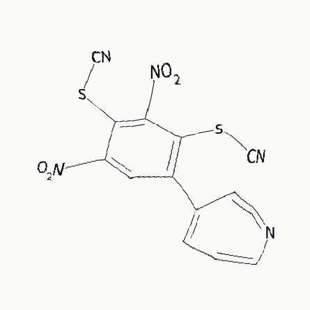 N#CSc1c(-c2cccnc2)cc([N+](=O)[O-])c(SC#N)c1[N+](=O)[O-]